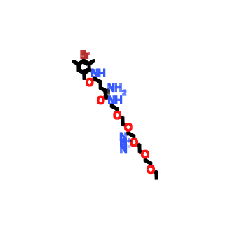 CCOCCOCCOCC(N=[N+]=[N-])OCCOCCNC(=O)[C@@H](N)CCC(=O)Nc1c(C)cc(C)c(Br)c1C